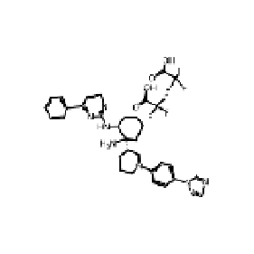 NC1([C@H]2CCCN(c3ccc(-n4cncn4)cc3)C2)CCCCC1Nc1nccc(-c2ccccc2)n1.O=C(O)C(F)(F)F.O=C(O)C(F)(F)F